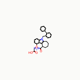 NC(=O)C1CCCCc2c1c1c(OCC(=O)O)cccc1n2Cc1ccccc1-c1ccccc1